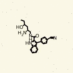 CCC(O)C[C@H](N)CNC(=O)c1[nH]c2ccccc2c1-c1ccc(C#N)cc1